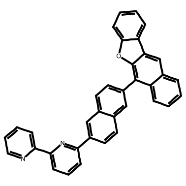 c1ccc(-c2cccc(-c3ccc4cc(-c5c6ccccc6cc6c5oc5ccccc56)ccc4c3)n2)nc1